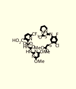 COC(=O)CSc1cc(/N=c2\sc(=O)n3n2CCCC3)c(F)cc1Cl.COc1cc(OC)nc(NC(=O)NS(=O)(=O)c2nc(C(F)(F)F)ccc2C(=O)O)n1